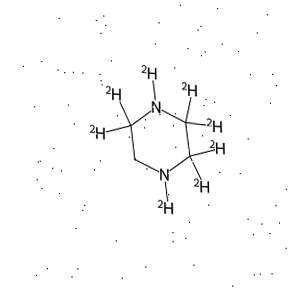 [2H]N1CC([2H])([2H])N([2H])C([2H])([2H])C1([2H])[2H]